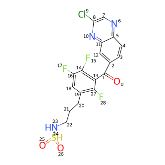 O=C(c1ccc2ncc(Cl)nc2c1)c1c(F)c(F)cc(CCCN[SH](=O)=O)c1F